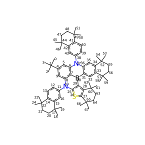 CC(C)(C)c1cc2c3c(c1)N(c1ccc4c(c1)C(C)(C)CCC4(C)C)c1sc4c(c1B3c1cc3c(cc1N2c1ccc2c(c1)C(C)(C)CCC2(C)C)C(C)(C)CCC3(C)C)C(C)(C)CCC4(C)C